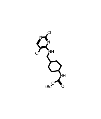 CC(C)(C)OC(=O)NC1CCC(CNc2nc(Cl)ncc2Cl)CC1